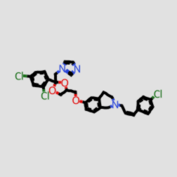 Clc1ccc(/C=C\CN2CCc3cc(OCC4COC(Cn5ccnc5)(c5ccc(Cl)cc5Cl)O4)ccc3C2)cc1